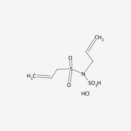 C=CCN(S(=O)(=O)O)S(=O)(=O)CC=C.Cl